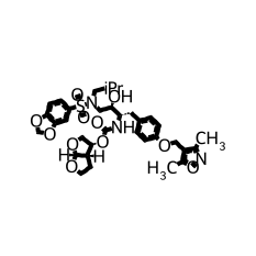 Cc1noc(C)c1COc1ccc(C[C@H](NC(=O)O[C@H]2CO[C@H]3OCC[C@H]32)[C@H](O)CN(CC(C)C)S(=O)(=O)c2ccc3c(c2)OCO3)cc1